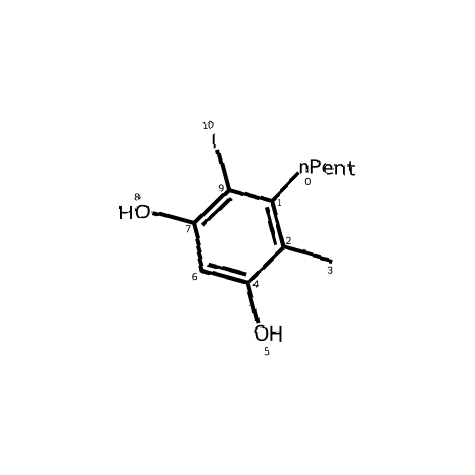 CCCCCc1c(C)c(O)cc(O)c1I